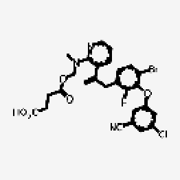 C=C(Cc1ccc(Br)c(Oc2cc(Cl)cc(C#N)c2)c1F)c1cccnc1N(C)COC(=O)CCC(=O)O